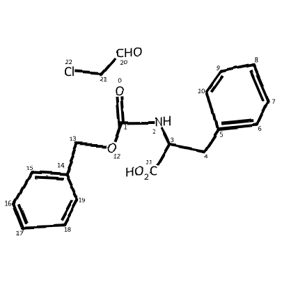 O=C(NC(Cc1ccccc1)C(=O)O)OCc1ccccc1.O=CCCl